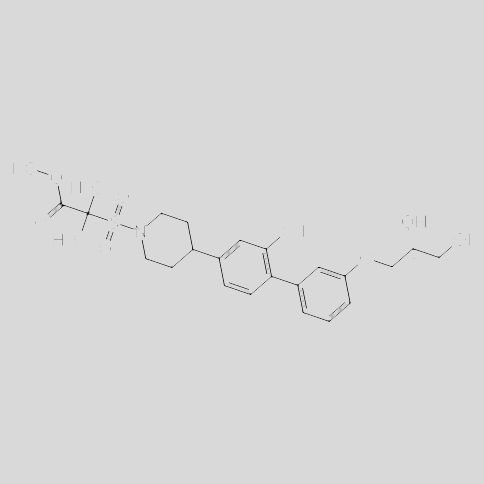 COC(=O)C(C)(C)S(=O)(=O)N1CCC(c2ccc(-c3cccc(OC[C@H](O)CO)c3)c(C)c2)CC1